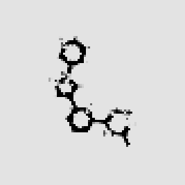 CC(=O)NC(=NO)c1cccc(-c2cnn(-c3cccnc3)c2)n1